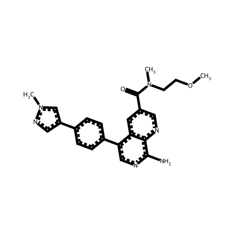 COCCN(C)C(=O)c1cnc2c(N)ncc(-c3ccc(-c4cnn(C)c4)cc3)c2c1